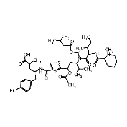 CCC(C)C(NC(=O)C1CCCCN1C)C(=O)N(COC(=O)CC(C)C)C(CC(OC(C)=O)c1nc(C(=O)NC(Cc2ccc(O)cc2)CC(C)C(=O)O)cs1)C(C)C